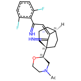 CC(=O)N1CCO[C@@H]([C@@]23CCC[C@@H](CC2)/C(=C/C(=N)c2c(F)cccc2F)C3=N)C1